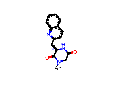 CC(=O)N1CC(=O)N/C(=C\c2ccc3ccccc3n2)C1=O